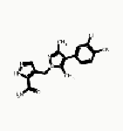 Cc1nn(Cc2cn[nH]c2C(N)=O)c(C)c1-c1ccc(C#N)c(Cl)c1